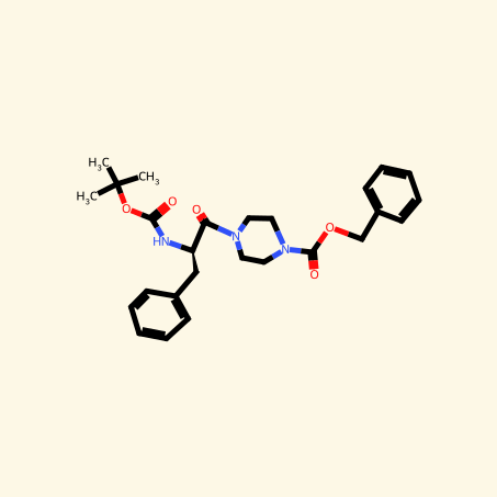 CC(C)(C)OC(=O)N[C@H](Cc1ccccc1)C(=O)N1CCN(C(=O)OCc2ccccc2)CC1